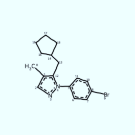 Cc1cnn(-c2ccc(Br)cc2)c1C[C]1CCCC1